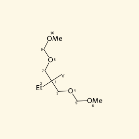 [CH2]C(CC)(COCOC)COCOC